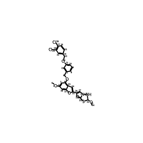 COc1cc(OCc2cccc(OCc3ccc(Cl)c(Cl)c3)c2)c2cc(-c3cn4c(n3)SC(OC)N4)oc2c1